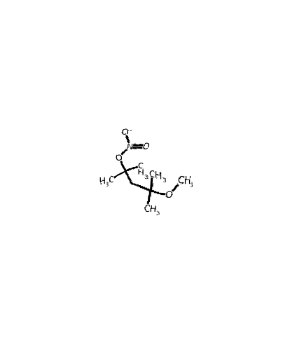 COC(C)(C)CC(C)(C)O[N+](=O)[O-]